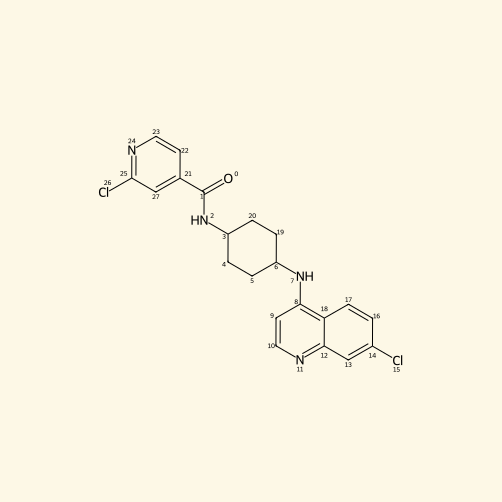 O=C(NC1CCC(Nc2ccnc3cc(Cl)ccc23)CC1)c1ccnc(Cl)c1